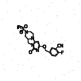 CC(C)S(=O)(=O)N1CCN2c3cc(OCc4ccc(F)c(C#N)c4)nc(=O)n3CC2C1